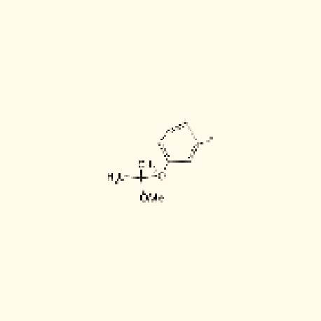 COC(C)(C)Oc1cc[c]c(F)c1